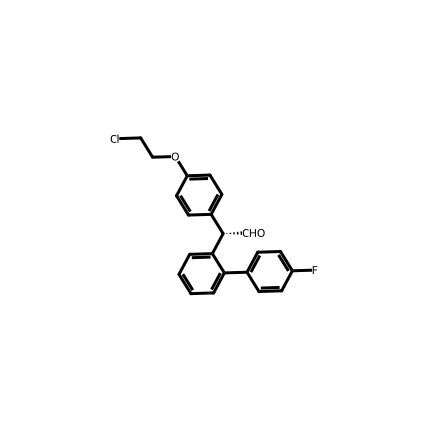 O=C[C@@H](c1ccc(OCCCl)cc1)c1ccccc1-c1ccc(F)cc1